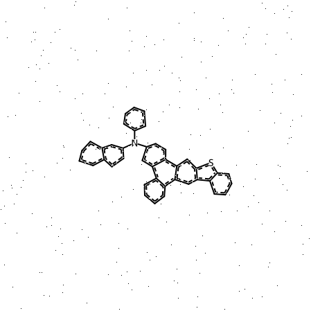 c1ccc(N(c2ccc3ccccc3c2)c2ccc3c(c2)c2ccccc2c2cc4c(cc32)sc2ccccc24)cc1